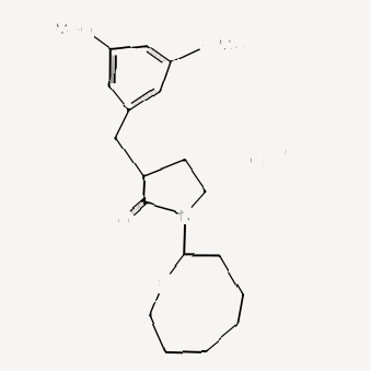 COc1cc(CC2CCN(C3[CH]CCCCCC3)C2=O)cc(OC)c1.[CH2].[CH2]